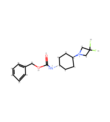 O=C(N[C@H]1CC[C@H](N2CC(F)(F)C2)CC1)OCc1ccccc1